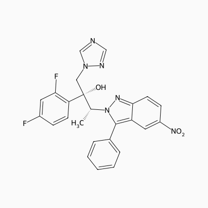 C[C@@H](n1nc2ccc([N+](=O)[O-])cc2c1-c1ccccc1)[C@](O)(Cn1cncn1)c1ccc(F)cc1F